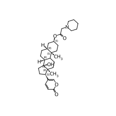 C[C@]12CC[C@H](OC(=O)CN3CCCCC3)C[C@H]1CC[C@@H]1C2CC[C@]2(C)[C@@H](c3ccc(=O)oc3)CC[C@]12O